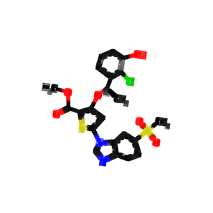 COC(=O)c1sc(-n2cnc3ccc(S(C)(=O)=O)cc32)cc1O[C@H](C)c1cccc(O)c1Cl